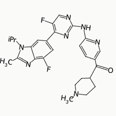 Cc1nc2c(F)cc(-c3nc(Nc4ccc(C(=O)C5CCN(C)CC5)cn4)ncc3F)cc2n1C(C)C